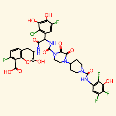 O=C(O)c1c(F)ccc2c1OB(O)[C@@H](NC(=O)C(NC(=O)N1CCN(C3CCN(C(=O)Nc4cc(F)c(F)c(O)c4F)CC3)C(=O)C1=O)c1cc(F)c(O)c(O)c1Cl)C2